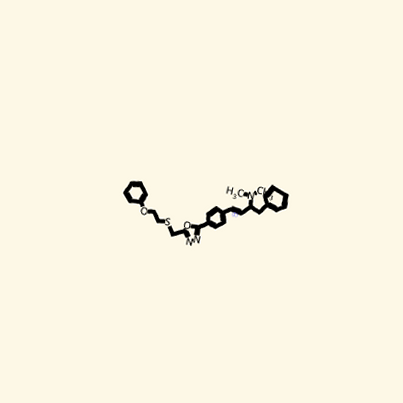 CN(C)C(/C=C/c1ccc(-c2nnc(CSCCOc3ccccc3)o2)cc1)Cc1ccccc1